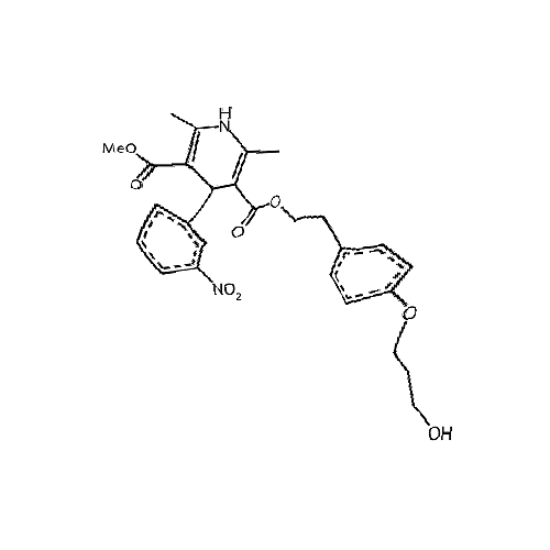 COC(=O)C1=C(C)NC(C)=C(C(=O)OCCc2ccc(OCCCO)cc2)C1c1cccc([N+](=O)[O-])c1